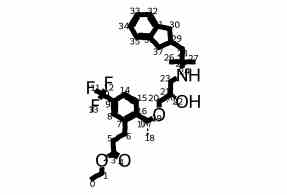 CCOC(=O)CCc1cc(C(F)(F)F)ccc1[C@@H](C)OC[C@H](O)CNC(C)(C)CC1Cc2ccccc2C1